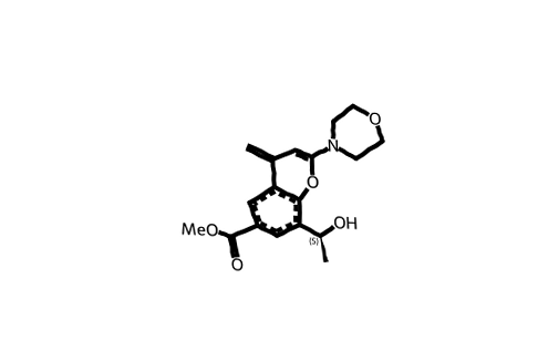 C=C1C=C(N2CCOCC2)Oc2c1cc(C(=O)OC)cc2[C@H](C)O